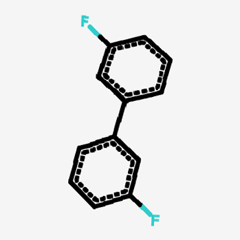 Fc1cccc(-c2cccc(F)c2)c1